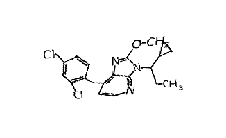 CCC(C1CC1)n1c(OC)nc2c(-c3ccc(Cl)cc3Cl)ccnc21